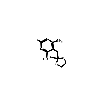 CCC1(Cc2c(N)nc(C)nc2O)OCCO1